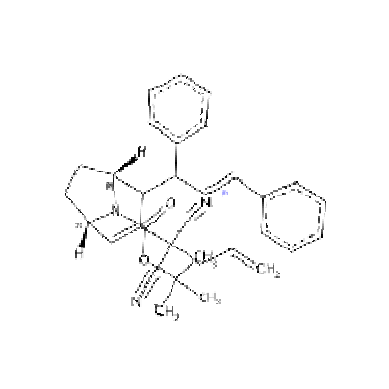 C=CCC(C#N)(C#N)C1=C[C@@H]2CC[C@H](C1C(/C=C/c1ccccc1)c1ccccc1)N2C(=O)OC(C)(C)C